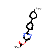 CCCCCCCCCCC(=O)Oc1cnc(-c2ccc(C3CCC(CCCCC)CC3)cc2)nc1